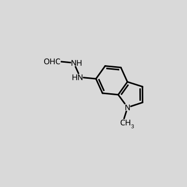 Cn1ccc2ccc(NNC=O)cc21